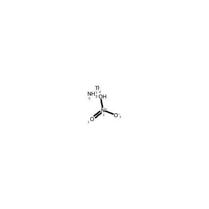 N.O=[N+]([O-])O.[Tl]